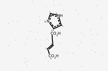 O=C(O)C=CC(=O)O.c1c[nH]cn1